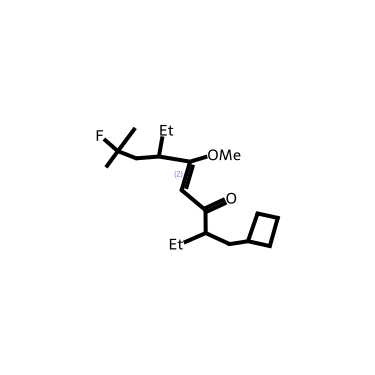 CCC(CC1CCC1)C(=O)/C=C(\OC)C(CC)CC(C)(C)F